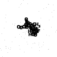 C[C@H](CCC(=O)OC(C)(CS(=O)(=O)O)C(F)(F)F)[C@H]1CC[C@H]2[C@@H]3C(OC=O)CC4CC(OC=O)CC[C@]4(C)[C@H]3CC(OC=O)[C@]12C